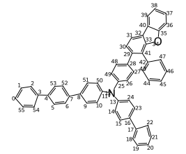 c1ccc(-c2ccc(-c3ccc(N(c4ccc(-c5ccccc5)cc4)c4ccc(-c5ccc6c(oc7ccccc76)c5-c5ccccc5)cc4)cc3)cc2)cc1